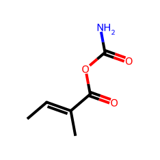 C/C=C(\C)C(=O)OC(N)=O